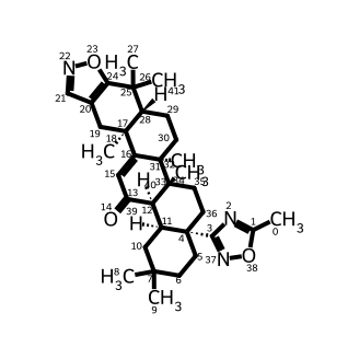 Cc1nc([C@]23CCC(C)(C)C[C@H]2[C@H]2C(=O)C=C4[C@@]5(C)Cc6cnoc6C(C)(C)[C@@H]5CC[C@@]4(C)[C@]2(C)CC3)no1